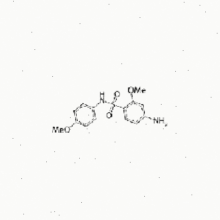 COc1ccc(NS(=O)(=O)c2ccc(N)cc2OC)cc1